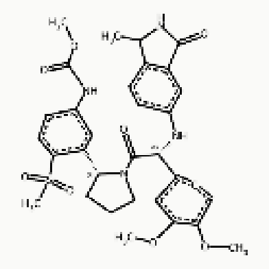 COC(=O)Nc1ccc(S(C)(=O)=O)c([C@H]2CCCN2C(=O)[C@H](Nc2ccc3c(c2)C(=O)NC3C)c2ccc(OC)c(OC)c2)c1